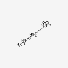 CCC(=O)NCCOCCNC(=O)CCCCCCC(=O)ON1C(=O)CCC1=O